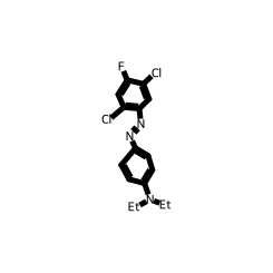 CCN(CC)c1ccc(N=Nc2cc(Cl)c(F)cc2Cl)cc1